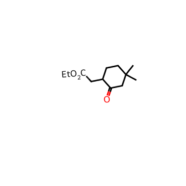 CCOC(=O)CC1CCC(C)(C)CC1=O